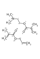 C=C(C)C(=O)OCCN(C)C.C=CCOC(=O)C(=C)C